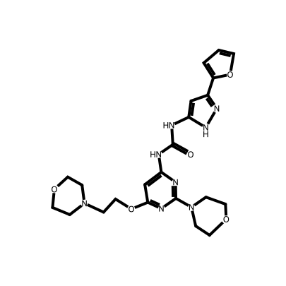 O=C(Nc1cc(OCCN2CCOCC2)nc(N2CCOCC2)n1)Nc1cc(-c2ccco2)n[nH]1